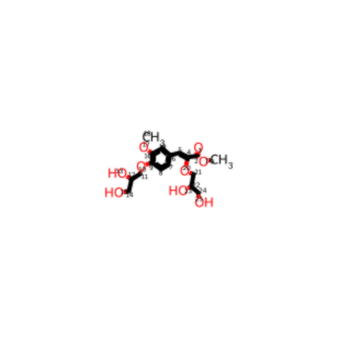 COC(=O)C(=Cc1ccc(OCC(O)CO)c(OC)c1)OCC(O)CO